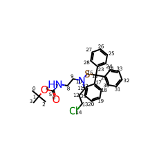 CC(C)(C)OC(=O)NCCN(CCCCl)SC(c1ccccc1)(c1ccccc1)c1ccccc1